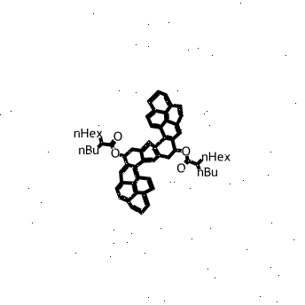 CCCCCCC(CCCC)C(=O)OC1Cc2cc3c(cc2-c2c1cc1ccc4cccc5ccc2c1c45)CC(OC(=O)C(CCCC)CCCCCC)c1cc2ccc4cccc5ccc(c1-3)c2c45